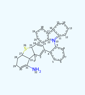 CC12C=C(c3ccccc3-n3c4ccccc4c4ccccc43)C=CC1SC1CCC=C(N)C12